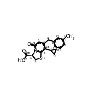 Cc1cccc(Cc2cc(=O)n3c(c2C2CC2)SC[C@H]3C(=O)O)c1